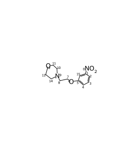 O=[N+]([O-])c1cccc(OCCN2CCOCC2)c1